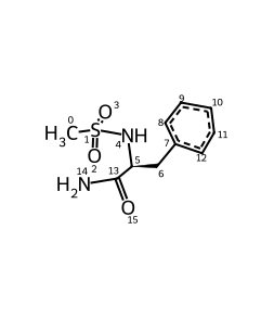 CS(=O)(=O)N[C@@H](Cc1ccccc1)C(N)=O